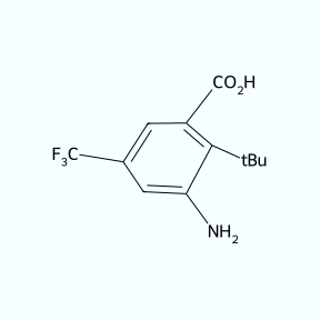 CC(C)(C)c1c(N)cc(C(F)(F)F)cc1C(=O)O